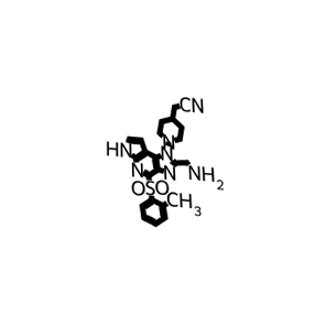 Cc1ccccc1S(=O)(=O)c1nc2[nH]ccc2c2c1nc(CN)n2N1CCC(CC#N)CC1